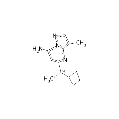 Cc1cnn2c(N)cc([C@@H](C)C3CCC3)nc12